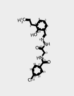 C=CCc1cccc(C=NNC(=O)CNC(=O)c2ccc(Cl)cc2)c1O